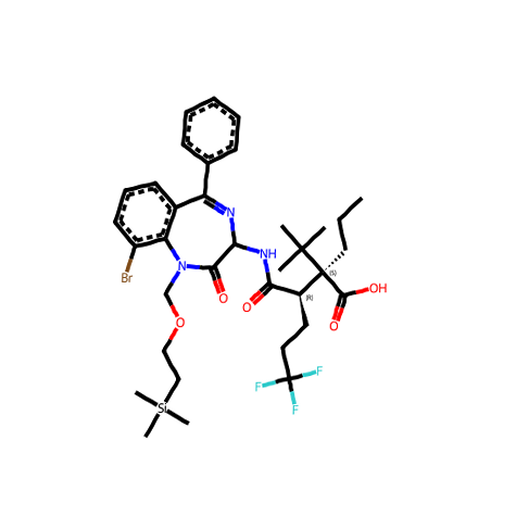 CCC[C@](C(=O)O)([C@@H](CCC(F)(F)F)C(=O)NC1N=C(c2ccccc2)c2cccc(Br)c2N(COCC[Si](C)(C)C)C1=O)C(C)(C)C